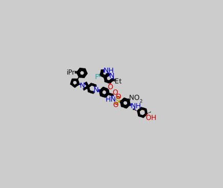 CCc1nc2[nH]cc(F)c2cc1Oc1cc(N2CCC3(CC2)CN([C@H]2CCC[C@H]2c2ccccc2C(C)C)C3)ccc1C(=O)NS(=O)(=O)c1ccc(NC[C@H]2CC[C@](C)(O)CC2)c([N+](=O)[O-])c1